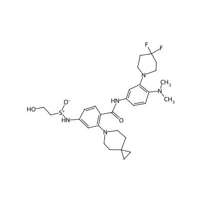 CN(C)c1ccc(NC(=O)c2ccc(N[S+]([O-])CCO)cc2N2CCC3(CC2)CC3)cc1N1CCC(F)(F)CC1